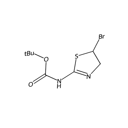 CC(C)(C)OC(=O)NC1=NCC(Br)S1